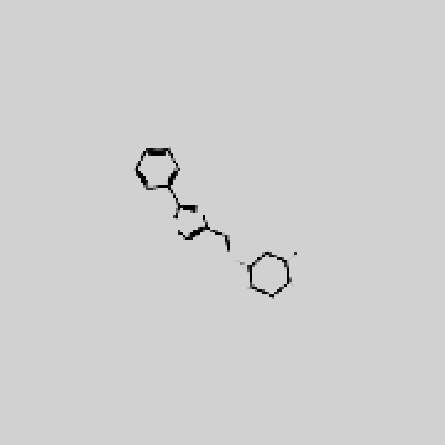 O[C@H]1CCC[C@@H](OCc2coc(-c3ccccc3)n2)C1